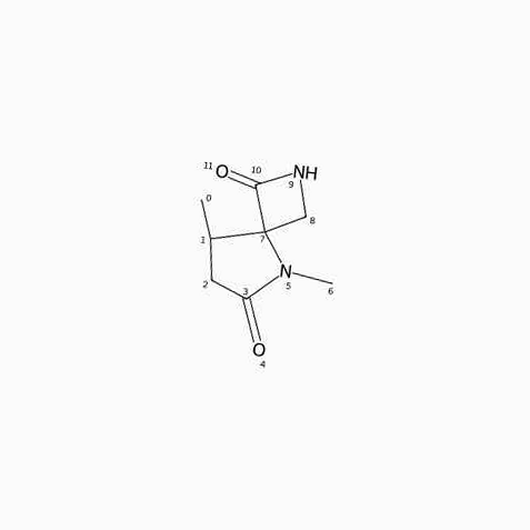 CC1CC(=O)N(C)C12CNC2=O